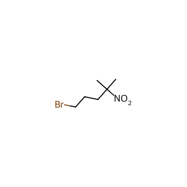 CC(C)(CCCBr)[N+](=O)[O-]